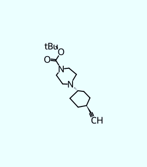 C#C[C@H]1CC[C@H](N2CCN(C(=O)OC(C)(C)C)CC2)CC1